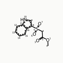 COC(=O)CS(=O)(=O)c1c[nH]c2ccccc12